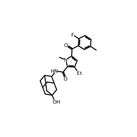 CCc1cc(C(=O)c2cc(C)ccc2F)n(C)c1C(=O)NC1C2CC3CC1CC(O)(C3)C2